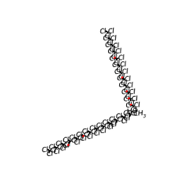 CO.ClC(Cl)Cl.ClC(Cl)Cl.ClC(Cl)Cl.ClC(Cl)Cl.ClC(Cl)Cl.ClC(Cl)Cl.ClC(Cl)Cl.ClC(Cl)Cl.ClC(Cl)Cl.ClC(Cl)Cl.ClC(Cl)Cl.ClC(Cl)Cl.ClC(Cl)Cl.ClC(Cl)Cl.ClC(Cl)Cl.ClC(Cl)Cl.ClC(Cl)Cl.ClC(Cl)Cl.ClC(Cl)Cl.ClC(Cl)Cl.ClC(Cl)Cl.ClC(Cl)Cl.ClC(Cl)Cl.ClC(Cl)Cl.ClC(Cl)Cl